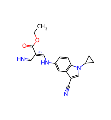 CCOC(=O)/C(C=N)=C/Nc1ccc2c(c1)c(C#N)cn2C1CC1